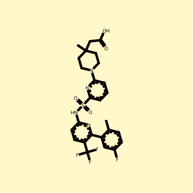 Cc1ccc(F)cc1-c1nc(NS(=O)(=O)c2cccc(N3CCC(C)(CC(=O)O)CC3)n2)ccc1C(F)(F)F